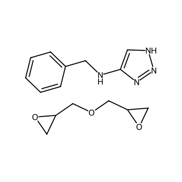 C(OCC1CO1)C1CO1.c1ccc(CNc2c[nH]nn2)cc1